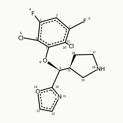 Fc1cc(F)c(Cl)c(O[C@H](c2ncco2)[C@H]2CCNC2)c1Cl